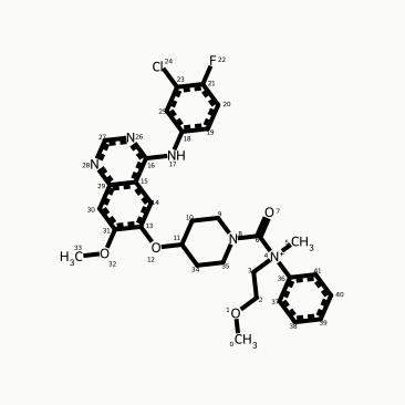 COCC[N+](C)(C(=O)N1CCC(Oc2cc3c(Nc4ccc(F)c(Cl)c4)ncnc3cc2OC)CC1)c1ccccc1